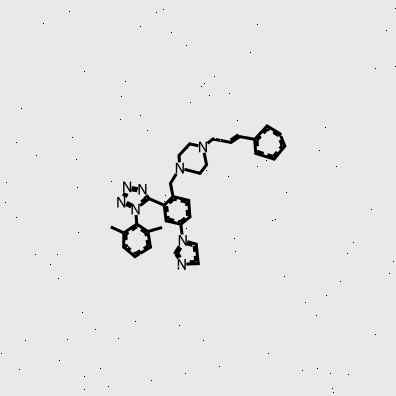 Cc1cccc(C)c1-n1nnnc1-c1cc(-n2ccnc2)ccc1CN1CCN(CC=Cc2ccccc2)CC1